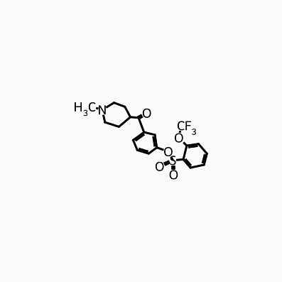 CN1CCC(C(=O)c2cccc(OS(=O)(=O)c3ccccc3OC(F)(F)F)c2)CC1